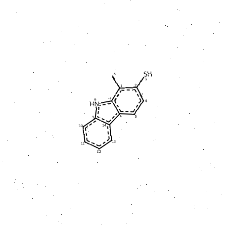 Cc1c(S)ccc2c1[nH]c1ccccc12